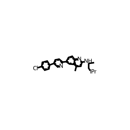 Cc1cc(NC(C)CC(C)C)nc2ccc(-c3ccc(-c4ccc(Cl)cc4)cn3)cc12